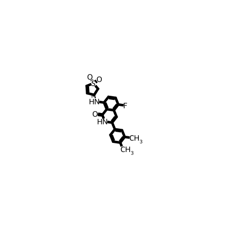 Cc1ccc(-c2cc3c(F)ccc(N[C@@H]4C=CS(=O)(=O)C4)c3c(=O)[nH]2)cc1C